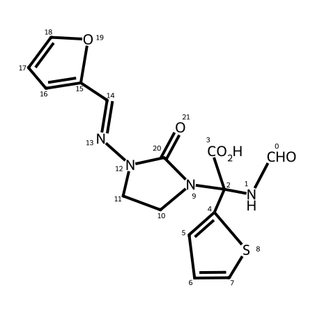 O=CNC(C(=O)O)(c1cccs1)N1CCN(N=Cc2ccco2)C1=O